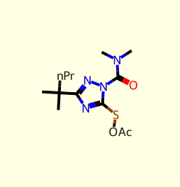 CCCC(C)(C)c1nc(SOC(C)=O)n(C(=O)N(C)C)n1